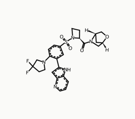 O=C([C@@H]1CCN1S(=O)(=O)c1ccc(N2CCC(F)(F)C2)c(-c2cc3ncccc3[nH]2)c1)N1C[C@@H]2C[C@H]1CO2